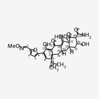 CO/N=C/c1ccc(-c2cc(N(C)C)c3c(c2O)C(=O)C2=C(O)[C@]4(O)C(=O)C(C(N)=O)C(O)C[C@@H]4C[C@@H]2C3)o1